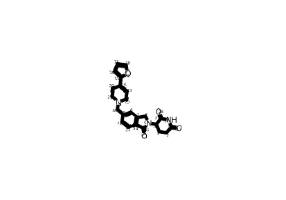 O=C1CCC(N2Cc3cc(CN4CC=C(c5ccco5)CC4)ccc3C2=O)C(=O)N1